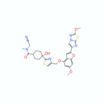 COc1cc(OCc2csc(C3(O)CCC(C(=O)N(C)CC#N)CC3)n2)c2cc(-c3cn4nc(OC)sc4n3)oc2c1